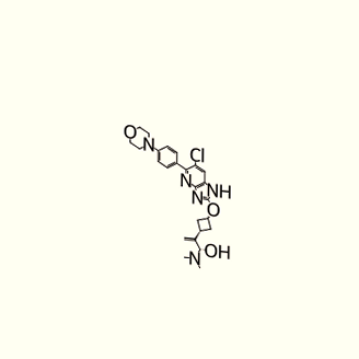 C=C([C@H]1C[C@@H](Oc2nc3nc(-c4ccc(N5CCOCC5)cc4)c(Cl)cc3[nH]2)C1)[C@H](O)N(C)C